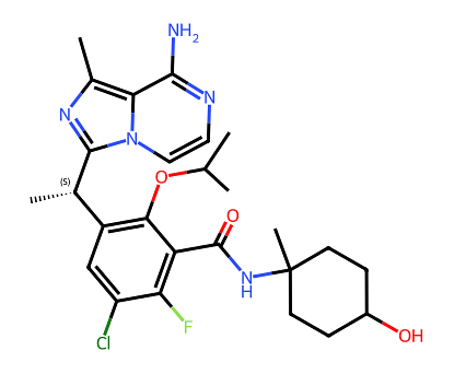 Cc1nc([C@@H](C)c2cc(Cl)c(F)c(C(=O)NC3(C)CCC(O)CC3)c2OC(C)C)n2ccnc(N)c12